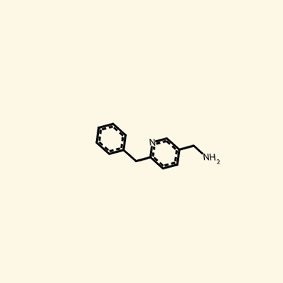 NCc1ccc(Cc2ccccc2)nc1